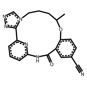 CC1CCCn2cnnc2-c2cccc(n2)NC(=O)c2cc(C#N)ccc2O1